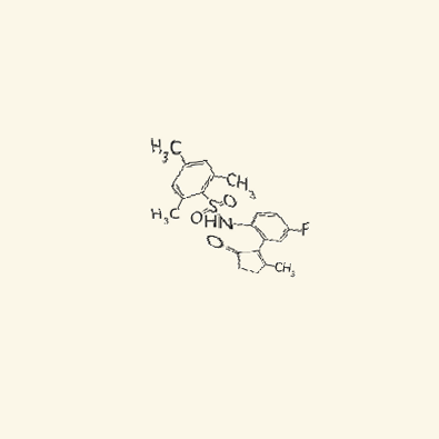 CC1=C(c2cc(F)ccc2NS(=O)(=O)c2c(C)cc(C)cc2C)C(=O)CC1